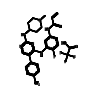 C=CC(=O)Nc1ccc(F)c(Nc2nc(NC3CCN(C)CC3)ncc2-c2ccc(C(F)(F)F)cc2)c1.O=C(O)C(F)(F)F